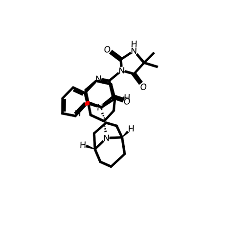 CC1(C)NC(=O)N(c2nc3ccccc3n([C@H]3C[C@H]4CCC[C@@H](C3)N4[C@H]3C[C@@H]4CCC[C@@H](C4)C3)c2=O)C1=O